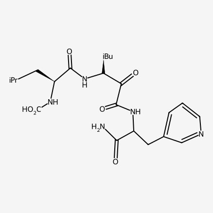 CC[C@H](C)C(NC(=O)[C@H](CC(C)C)NC(=O)O)C(=O)C(=O)NC(Cc1cccnc1)C(N)=O